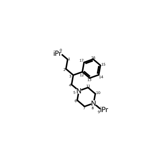 CC(C)CCC(CN1CCN(C(C)C)CC1)c1ccccc1